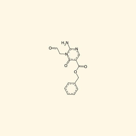 Nc1ncc(C(=O)OCc2ccccc2)c(=O)n1CC=O